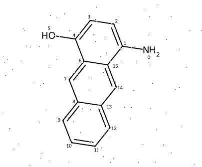 Nc1ccc(O)c2cc3ccccc3cc12